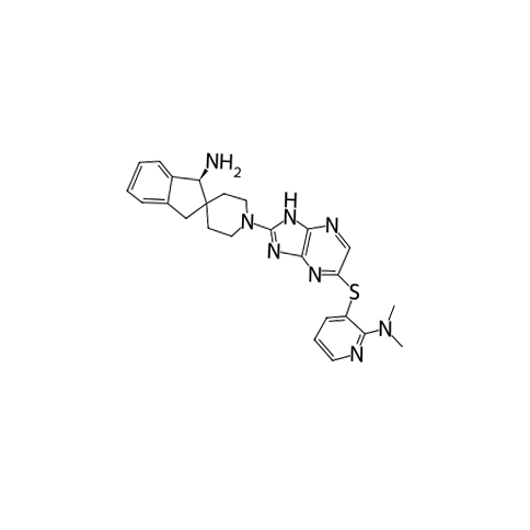 CN(C)c1ncccc1Sc1cnc2[nH]c(N3CCC4(CC3)Cc3ccccc3[C@H]4N)nc2n1